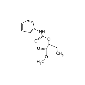 CCC(OC(=O)Nc1ccccc1)C(=O)OC